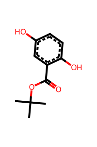 CC(C)(C)OC(=O)c1cc(O)ccc1O